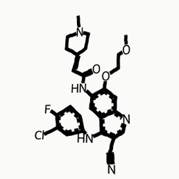 COCCOc1cc2ncc(C#N)c(Nc3ccc(F)c(Cl)c3)c2cc1NC(=O)C=C1CCN(C)CC1